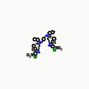 CCC1(Cc2ccccc2)/C(=C\C=C\C2=[N+](Cc3ccc(C[N+]4=C(/C=C/C=C5/N(C)c6cc(Br)c([N+](=O)[O-])cc6C5(CC)Cc5ccccc5)C(C)(C)c5c4ccc4ccccc54)cc3)c3ccc4ccccc4c3C2(C)C)N(C)c2cc(Br)c([N+](=O)[O-])cc21